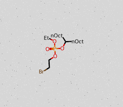 CCCCCCCCC(CCCCCCCC)OP(=O)(OCC)OCCBr